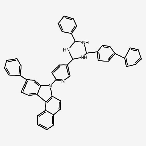 c1ccc(-c2ccc(C3NC(c4ccccc4)NC(c4ccc(-n5c6cc(-c7ccccc7)ccc6c6c7ccccc7ccc65)nc4)N3)cc2)cc1